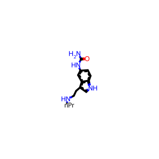 CCCNCCc1c[nH]c2ccc(NC(N)=O)cc12